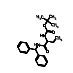 CC[C@H](NC(=O)OC(C)(C)C)C(=O)NC(c1ccccc1)c1ccccc1